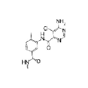 CNC(=O)c1ccc(C)c(NC(=O)c2ncnc(N)c2Cl)c1